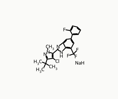 Cn1nc(C(C)(C)C)c(Cl)c1-c1nc2cc(-c3ccccc3F)cc(C(F)(F)F)c2[nH]1.[NaH]